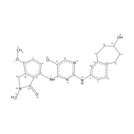 COc1ccc(Nc2nc(Nc3ccc4c(c3)CCC(O)CC4)ncc2Cl)c2c1CN(C)C2=O